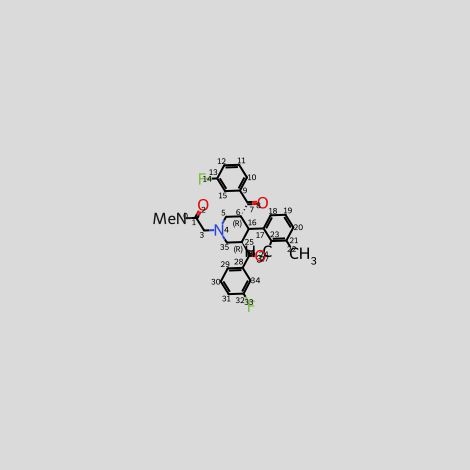 CNC(=O)CN1C[C@H](C(=O)c2cccc(F)c2)C(c2cccc(C)c2C)[C@@H](C(=O)c2cccc(F)c2)C1